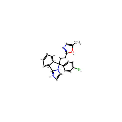 Cc1cnc(CCC2(c3ccc(Br)cc3)c3ccccc3-c3nccn32)o1